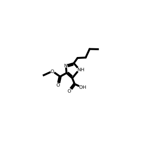 CCCCc1nc(C(=O)OC)c(C(=O)O)[nH]1